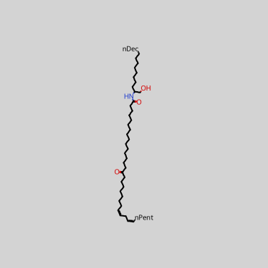 CCCCC/C=C\C/C=C\CCCCCCCC(=O)CCCCCCCCCCCCCCC(=O)NC(CO)CCCCCCCCCCCCCCCCCC